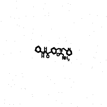 NCC(=O)N(Cc1ccc(C(=O)NNc2ccccc2)cc1)Cc1ccccn1